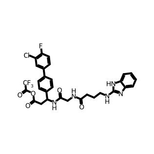 O=C(CCCNc1nc2ccccc2[nH]1)NCC(=O)NC(CC(=O)OC(=O)C(F)(F)F)c1ccc(-c2ccc(F)c(Cl)c2)cc1